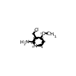 COc1ccnc(N)c1CCl